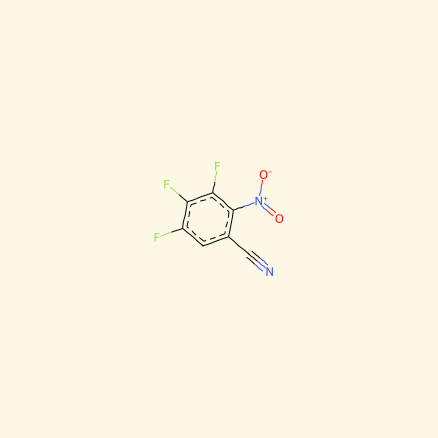 N#Cc1cc(F)c(F)c(F)c1[N+](=O)[O-]